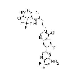 CCC(CCCn1cnc2cc(-c3cnc(C(F)(F)F)c(N)n3)c(F)cc2c1=O)Nc1cn[nH]c(=O)c1C(F)(F)F